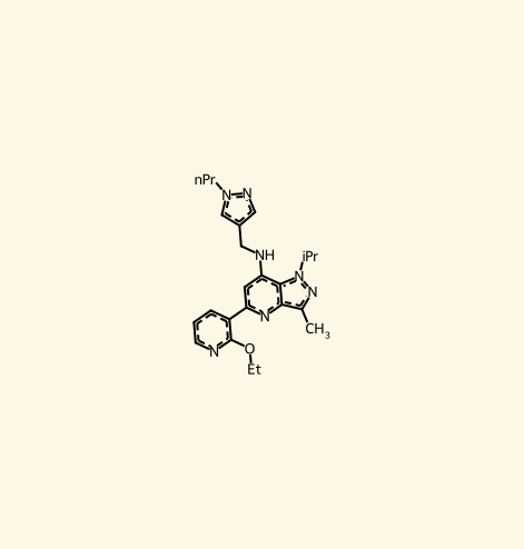 CCCn1cc(CNc2cc(-c3cccnc3OCC)nc3c(C)nn(C(C)C)c23)cn1